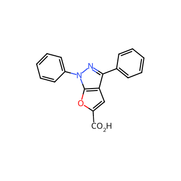 O=C(O)c1cc2c(-c3ccccc3)nn(-c3ccccc3)c2o1